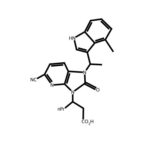 CCCC(CC(=O)O)n1c(=O)n(C(C)c2c[nH]c3cccc(C)c23)c2ccc(C#N)nc21